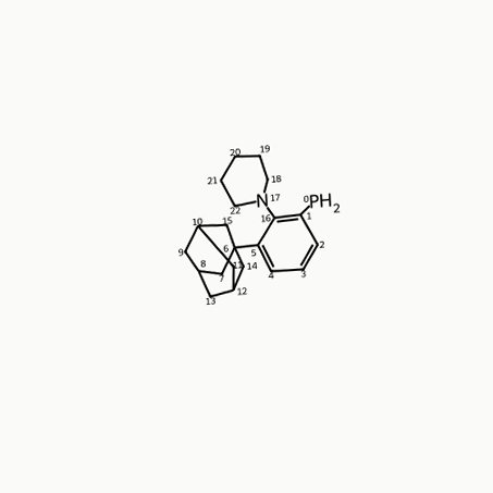 Pc1cccc(C23CC4CC(CC(C4)C2)C3)c1N1CCCCC1